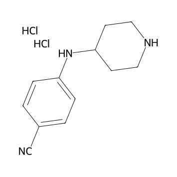 Cl.Cl.N#Cc1ccc(NC2CCNCC2)cc1